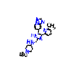 Cc1cccc(-c2nc(CNC3CCN(C(C)(C)C)CC3)[nH]c2-c2ccn3ncnc3c2)n1